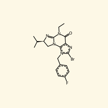 CCN1C(=O)c2nc(Br)n(Cc3ccc(F)cc3)c2N2C[C@@H](C(C)C)N=C12